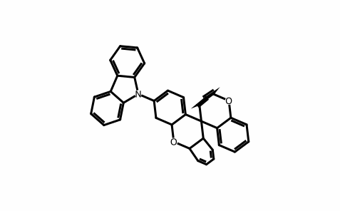 C1=CC2Oc3ccccc3C3(C4=CC=C(n5c6ccccc6c6ccccc65)CC4OC4C=CC=CC43)C2C=C1